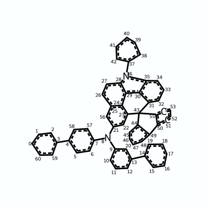 c1ccc(-c2ccc(N(c3cccc(-c4ccccc4)c3)c3cc4c5c(ccc6c5c5c(cccc5n6-c5ccccc5)C45c4ccccc4-c4ccccc45)c3)cc2)cc1